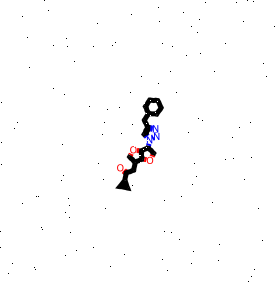 O=C(CC1COC2C1OCC2n1cc(CC2CCCCC2)nn1)C1CC1